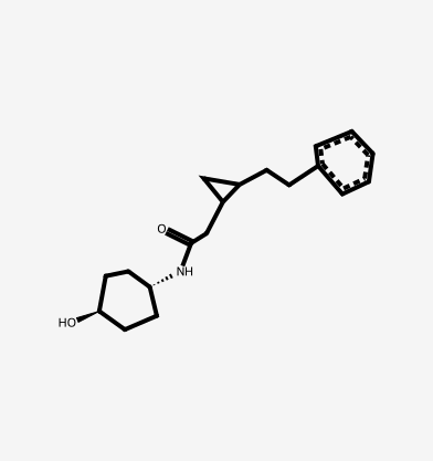 O=C(CC1CC1CCc1ccccc1)N[C@H]1CC[C@H](O)CC1